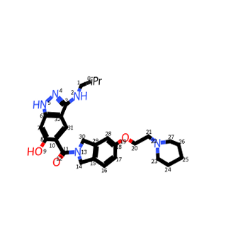 CC(C)CNc1n[nH]c2cc(O)c(C(=O)N3Cc4ccc(OCCN5CCCCC5)cc4C3)cc12